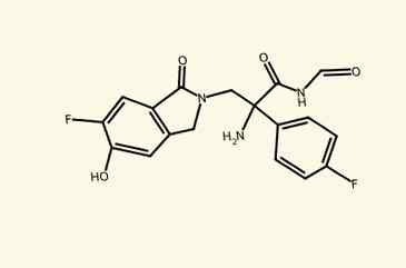 NC(CN1Cc2cc(O)c(F)cc2C1=O)(C(=O)NC=O)c1ccc(F)cc1